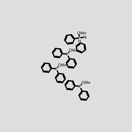 COP(c1ccccc1)c1ccccc1.COP(c1ccccc1)c1ccccc1.COP(c1ccccc1)c1ccccc1.CO[PH]([Ni])(c1ccccc1)c1ccccc1